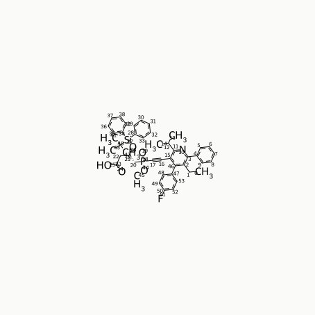 CCc1c(-c2ccccc2)nc(C(C)C)c(C#CP(=O)(C[C@H](CC(=O)O)O[Si](c2ccccc2)(c2ccccc2)C(C)(C)C)OC)c1-c1ccc(F)cc1